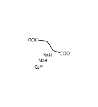 O=C([O-])CCC(=O)[O-].[Ca+2].[NaH].[NaH]